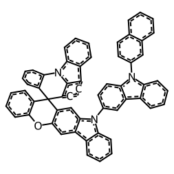 c1ccc2c(c1)Oc1cc3c4ccccc4n(-c4ccc5c(c4)c4ccccc4n5-c4ccc5ccccc5c4)c3cc1C21c2ccccc2-n2c3ccccc3c3cccc1c32